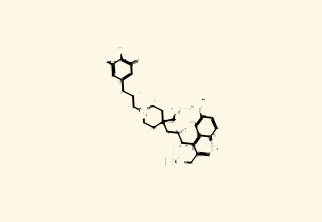 COc1ccc2ncc(CO)c([C@@H](F)CCC3(C(=O)O)CCN(CCCc4cc(F)c(F)c(F)c4)CC3)c2c1